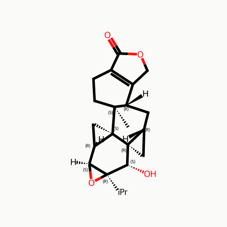 CC(C)[C@]12O[C@H]1[C@@H]1C[C@]13[C@]1(C[C@H]1C[C@H]1C4=C(CC[C@@]13C)C(=O)OC4)[C@@H]2O